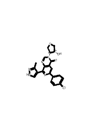 Cc1n[nH]cc1-c1nc(-c2ccc(Cl)cc2)cc2c(=O)n([C@@H]3COC[C@@H]3O)cnc12